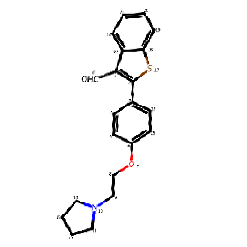 O=Cc1c(-c2ccc(OCCN3CCCC3)cc2)sc2ccccc12